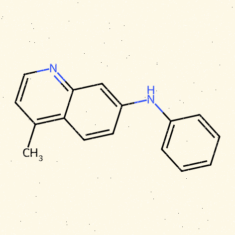 Cc1ccnc2cc(Nc3ccccc3)ccc12